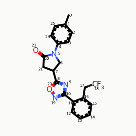 Cc1ccc(N2CC(c3nc(-c4ccccc4CC(F)(F)F)no3)CC2=O)cc1